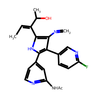 C=Nc1c(/C(=C\C)C(C)O)[nH]c(-c2ccnc(NC(C)=O)c2)c1-c1ccc(F)nc1